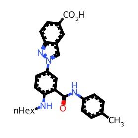 CCCCCCNc1ccc(-n2cc3cc(C(=O)O)ccc3n2)cc1C(=O)Nc1ccc(C)cc1